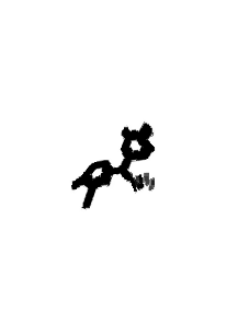 Cc1ccc(C(N)c2ccc(C)c(C)c2)cc1C